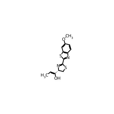 CC=C(O)[C@H]1CSC(c2nc3ccc(OC)cc3s2)=N1